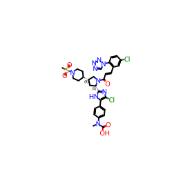 CN(C(=O)O)c1ccc(-c2[nH]c([C@@H]3C[C@H](C4CCN(S(C)(=O)=O)CC4)CN3C(=O)C=Cc3cc(Cl)ccc3-n3cnnn3)nc2Cl)cc1